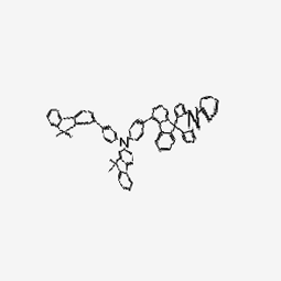 CC1(C)c2ccccc2-c2ccc(-c3ccc(N(c4ccc(-c5cccc6c5-c5ccccc5C65c6ccccc6N(c6ccccc6)c6ccccc65)cc4)c4ccc5c(c4)C(C)(C)c4ccccc4-5)cc3)cc21